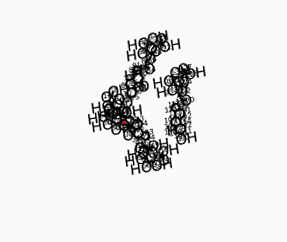 C[C@]12CC(=O)[C@H]3[C@@H](CC=C4C[C@H](OC5O[C@H](C(=O)O)[C@@H](O)[C@H](O)[C@H]5OC5([C@]6(O)CC[C@@]7(C)C(=CCC8C7C(=O)C[C@@]7(C)C8CC[C@@H]7C(=O)C(O)C7(O)O[C@H](C(=O)O)[C@@H](O)[C@H](O)[C@H]7O)C6)O[C@H](C(=O)O)[C@@H](O)[C@H](O)[C@H]5O)CC[C@@]43C)[C@@H]1CC[C@@H]2C(=O)COC1O[C@H](C(=O)O)[C@@H](O)[C@H](O)[C@H]1O.C[C@]12CCC3C(CC[C@@H]4C[C@H](O)CC[C@]34C)C1CC[C@@H]2C(=O)COC1O[C@H](C(=O)O)[C@@H](O)[C@@H](O)[C@H]1O